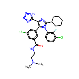 CN(C)CCNC(=O)c1cc(Cl)cc(-c2c(-c3nnn[nH]3)nc(C3CCCCC3)n2-c2cccc(Cl)c2F)c1